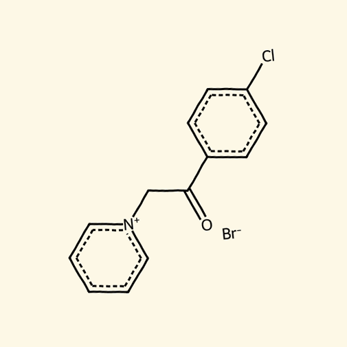 O=C(C[n+]1ccccc1)c1ccc(Cl)cc1.[Br-]